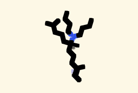 C/[C]=C(\C)CCC[C@](C)(CCCC(C)C)N(CCCC)CCCC